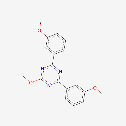 COc1cccc(-c2nc(OC)nc(-c3cccc(OC)c3)n2)c1